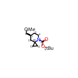 COC=C1CCN(C(=O)OC(C)(C)C)C2(CC2)C1